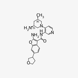 C[C@@H]1C[C@H](N)CN(c2ccncc2NC(=O)c2c(N)oc3cc(C4CCOC4)ccc23)C1